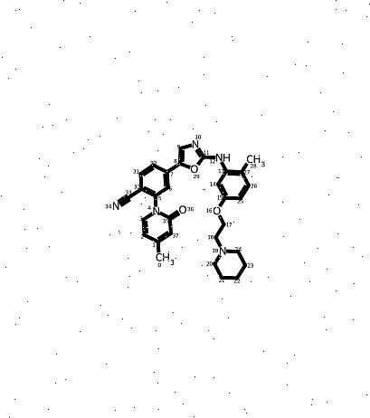 Cc1ccn(-c2cc(-c3cnc(Nc4cc(OCCN5CCCCC5)ccc4C)o3)ccc2C#N)c(=O)c1